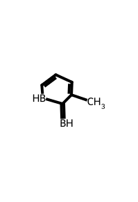 B=C1BC=CC=C1C